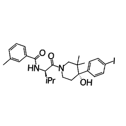 Cc1cccc(C(=O)N[C@@H](C(=O)N2CC[C@](O)(c3ccc(I)cc3)C(C)(C)C2)C(C)C)c1